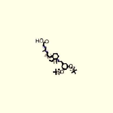 CC(/C=C/C(=O)O)=C\[C@@H](C)[C@H]1CC[C@H]2/C(=C/C=C3C[C@@H](O[Si](C)(C)C(C)(C)C)C[C@H](O[Si](C)(C)C(C)(C)C)C3)CCC[C@]12C